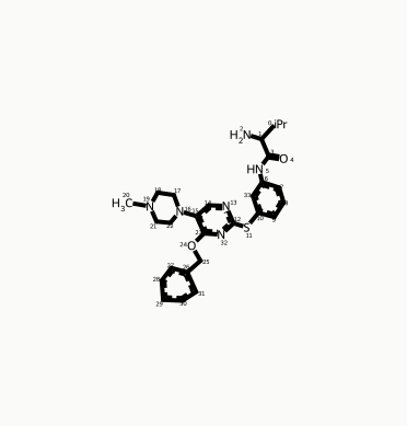 CC(C)C(N)C(=O)Nc1cccc(Sc2ncc(N3CCN(C)CC3)c(OCc3ccccc3)n2)c1